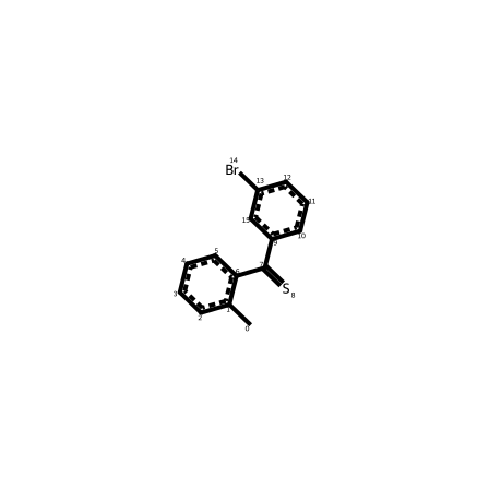 Cc1ccccc1C(=S)c1cccc(Br)c1